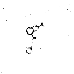 NC(=O)c1nc2cccc(C(=O)NNC3=NCCN3)c2[nH]1